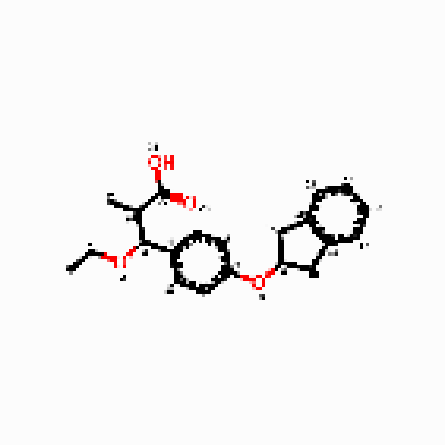 CCO[C@H](c1ccc(OC2Cc3ccccc3C2)cc1)C(C)C(=O)O